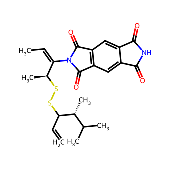 C=CC(SS[C@@H](C)/C(=C\C)n1c(=O)c2cc3c(=O)[nH]c(=O)c3cc2c1=O)[C@H](C)C(C)C